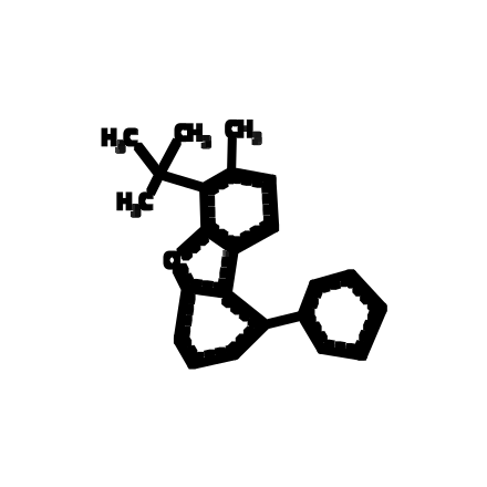 Cc1ccc2c(oc3cccc(-c4ccccc4)c32)c1C(C)(C)C